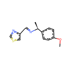 COc1ccc([C@H](C)N=Cc2cscn2)cc1